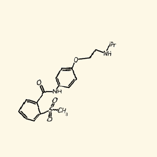 CC(C)NCCOc1ccc(NC(=O)c2ccccc2S(C)(=O)=O)cc1